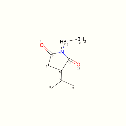 BBN1C(=O)CC(C(C)C)C1=O